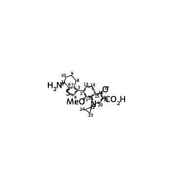 COc1c(-c2csc3c2CCCC3N)ccc2c(=O)c(C(=O)O)cn(C3CC3)c12